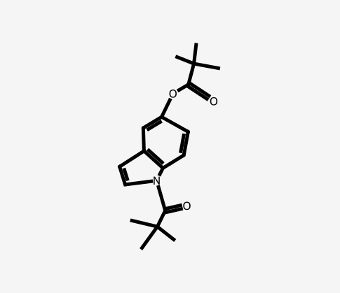 CC(C)(C)C(=O)Oc1ccc2c(ccn2C(=O)C(C)(C)C)c1